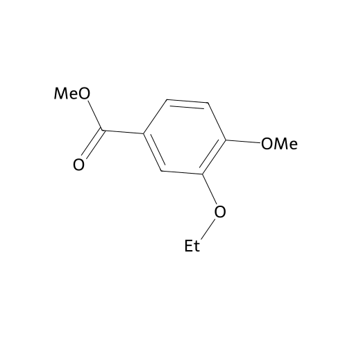 CCOc1cc(C(=O)OC)ccc1OC